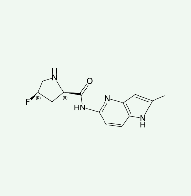 Cc1cc2nc(NC(=O)[C@H]3C[C@@H](F)CN3)ccc2[nH]1